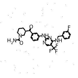 NC(=O)N1CCCC(C(=O)c2cccc(Nc3ncc(C(F)(F)F)c(NCc4cccc(F)c4)n3)c2)C1